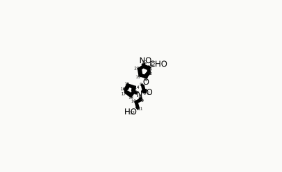 O=Cc1cc(OCC(=O)N(CCCO)c2ccccc2)ccc1[N+](=O)[O-]